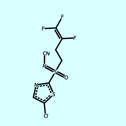 N#CN=S(=O)(CCC(F)=C(F)F)c1ncc(Cl)s1